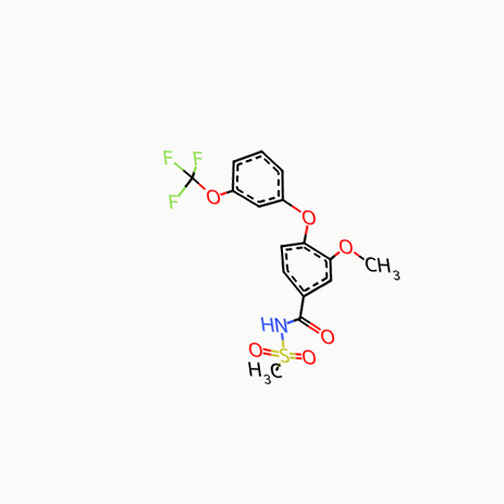 COc1cc(C(=O)NS(C)(=O)=O)ccc1Oc1cccc(OC(F)(F)F)c1